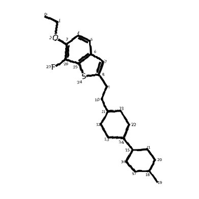 CCOc1ccc2cc(CCC3CCC(C4CCC(C)CC4)CC3)sc2c1F